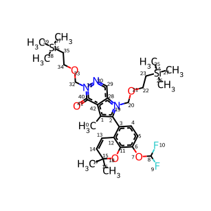 Cc1c(-c2ccc(OC(F)F)c3c2C=CC(C)(C)O3)n(COCC[Si](C)(C)C)c2cnn(COCC[Si](C)(C)C)c(=O)c12